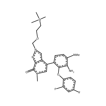 CNc1ccc(-c2cn(C)c(=O)c3nn(COCC[Si](C)(C)C)cc23)c(Oc2ccc(F)cc2F)c1N